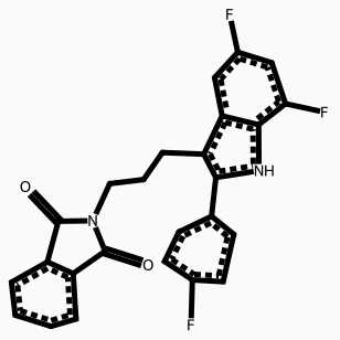 O=C1c2ccccc2C(=O)N1CCCc1c(-c2ccc(F)cc2)[nH]c2c(F)cc(F)cc12